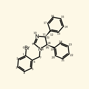 Brc1ccccc1CN1C=N[C@@H](c2ccccc2)[C@H]1c1ccccc1